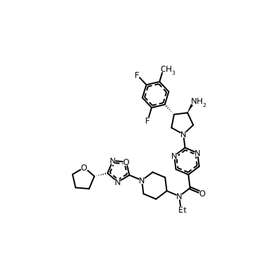 CCN(C(=O)c1cnc(N2C[C@H](c3cc(C)c(F)cc3F)[C@@H](N)C2)nc1)C1CCN(c2nc([C@@H]3CCCO3)no2)CC1